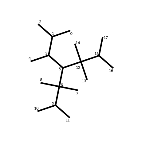 CC(C)C(C)C(C(C)(C)C(C)C)C(C)(C)C(C)C